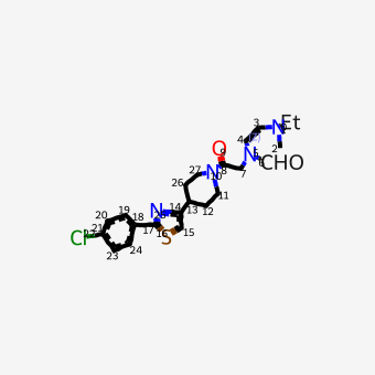 CCN(C)/C=C\N(C=O)CC(=O)N1CCC(c2csc(-c3ccc(Cl)cc3)n2)CC1